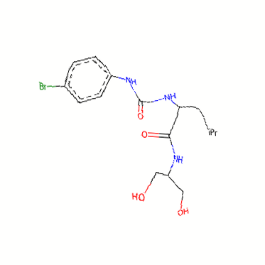 CC(C)CC(NC(=O)Nc1ccc(Br)cc1)C(=O)NC(CO)CO